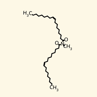 CCCCCCCC/C=C\CCCCCCCC(=O)N(C)C(=O)CCCCCCC/C=C\CCCCCCCC